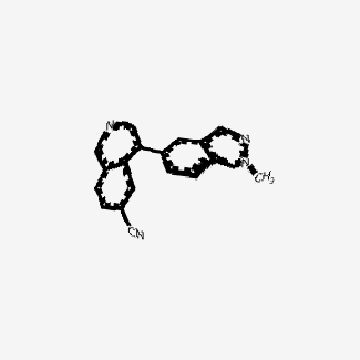 Cn1ncc2cc(-c3cncc4ccc(C#N)cc34)ccc21